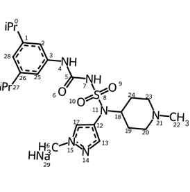 CC(C)c1cc(NC(=O)NS(=O)(=O)N(c2cnn(C)c2)C2CCN(C)CC2)cc(C(C)C)c1.[NaH]